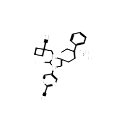 CN[C@]1(c2ccccc2)CC[C@]2(CC1)CN(c1cnc(C#N)nc1)C(O)N2CC1(C#N)CCC1